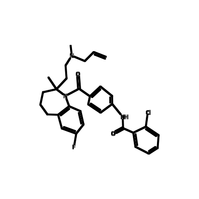 C=CCN(C)CCC1(C)CCCc2cc(F)ccc2N1C(=O)c1ccc(NC(=O)c2ccccc2Cl)cc1